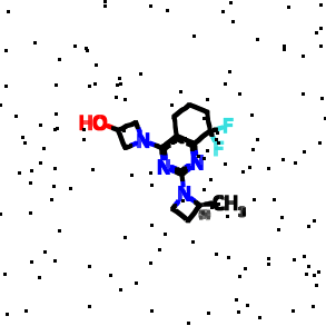 C[C@H]1CCN1c1nc(N2CC(O)C2)c2c(n1)C(F)(F)CCC2